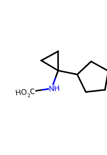 O=C(O)NC1(C2CCCC2)CC1